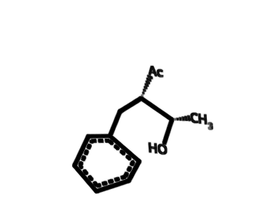 CC(=O)[C@@H](Cc1ccccc1)[C@H](C)O